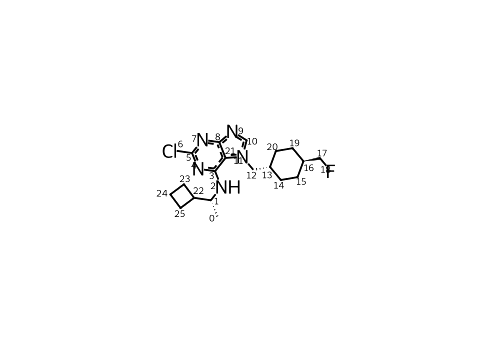 C[C@@H](Nc1nc(Cl)nc2ncn(C[C@H]3CC[C@H](CF)CC3)c12)C1CCC1